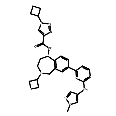 Cn1cc(Nc2nccc(-c3ccc4c(c3)CN(C3COC3)CC[C@H]4NC(=O)c3cn(C4CCC4)nn3)n2)cn1